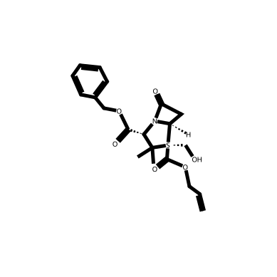 C=CCOC(=O)[S@]1(CO)[C@@H]2CC(=O)N2[C@@H](C(=O)OCc2ccccc2)C1(C)C